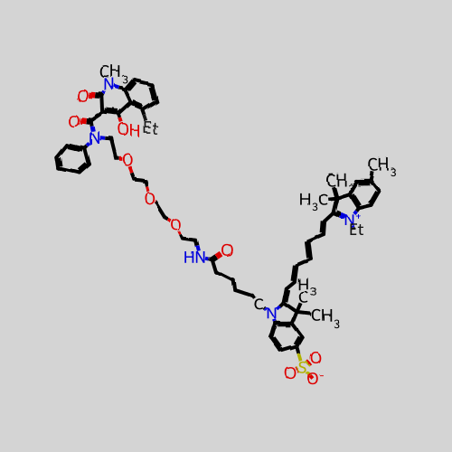 CCc1cccc2c1c(O)c(C(=O)N(CCOCCOCCOCCNC(=O)CCCCCN1/C(=C/C=C/C=C/C=C/C3=[N+](CC)c4ccc(C)cc4C3(C)C)C(C)(C)c3cc(S(=O)(=O)[O-])ccc31)c1ccccc1)c(=O)n2C